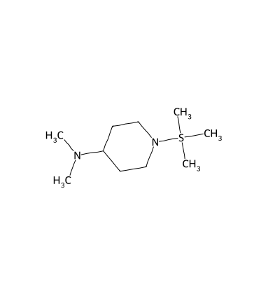 CN(C)C1CCN(S(C)(C)C)CC1